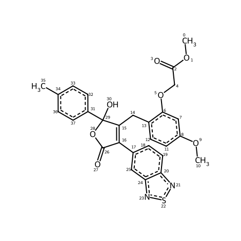 COC(=O)COc1cc(OC)ccc1CC1=C(c2ccc3nsnc3c2)C(=O)OC1(O)c1ccc(C)cc1